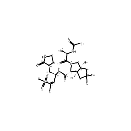 CC(C)(C)[C@@H](NC(=O)C(F)(F)F)C(=O)N1C[C@H]2CC(F)(F)C[C@H]2[C@@H]1C(=O)N[C@@H](/C=C(/F)S(C)(=O)=O)C[C@@H]1CCNC1=O